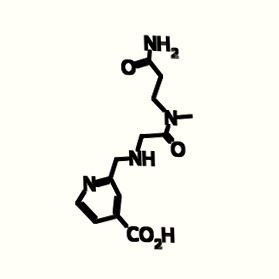 CN(CCC(N)=O)C(=O)CNCc1cc(C(=O)O)ccn1